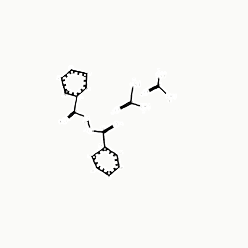 O=C(O)O.O=C(O)O.O=C(OOC(=O)c1ccccc1)c1ccccc1